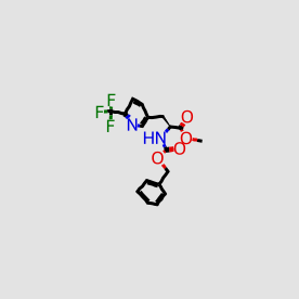 COC(=O)[C@H](Cc1ccc(C(F)(F)F)nc1)NC(=O)OCc1ccccc1